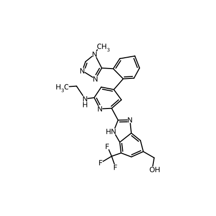 CCNc1cc(-c2ccccc2-c2nncn2C)cc(-c2nc3cc(CO)cc(C(F)(F)F)c3[nH]2)n1